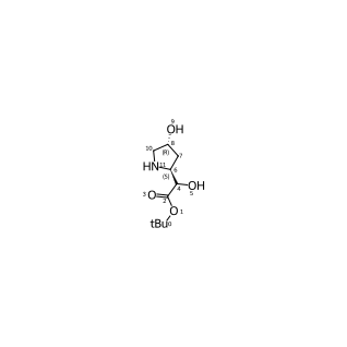 CC(C)(C)OC(=O)C(O)[C@@H]1C[C@@H](O)CN1